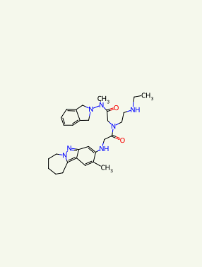 CCNCCN(CC(=O)N(C)N1Cc2ccccc2C1)C(=O)CNc1cc2nn3c(c2cc1C)CCCCC3